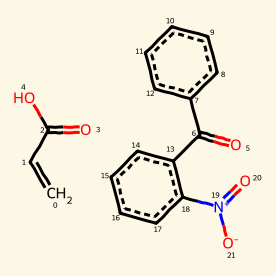 C=CC(=O)O.O=C(c1ccccc1)c1ccccc1[N+](=O)[O-]